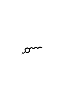 CCCCCCC1CCC(N)CC1